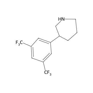 FC(F)(F)c1cc(C2CCCNC2)cc(C(F)(F)F)c1